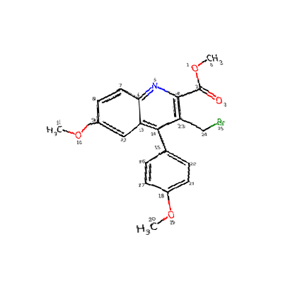 COC(=O)c1nc2ccc(OC)cc2c(-c2ccc(OC)cc2)c1CBr